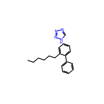 CCCCCCc1ccccc1-c1ccccc1.c1nnn[nH]1